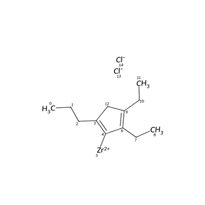 CCCC1=[C]([Zr+2])C(CC)=C(CC)C1.[Cl-].[Cl-]